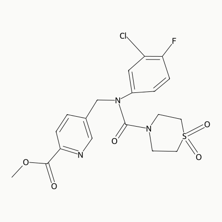 COC(=O)c1ccc(CN(C(=O)N2CCS(=O)(=O)CC2)c2ccc(F)c(Cl)c2)cn1